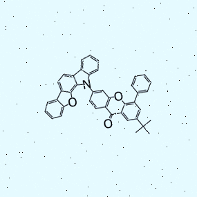 CC(C)(C)c1cc(-c2ccccc2)c2oc3cc(-n4c5ccccc5c5ccc6c7ccccc7oc6c54)ccc3c(=O)c2c1